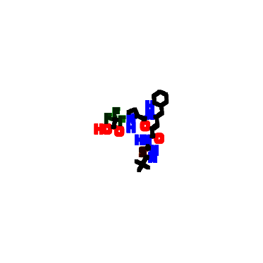 CC(C)(C)c1nnc(NC(=O)C=C[C@H](CC2CCCCC2)NC(=O)[C@@H]2CCN2)s1.O=C(O)C(F)(F)F